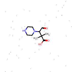 CC(C)(C(=O)O)C(C=O)N1CCNCC1